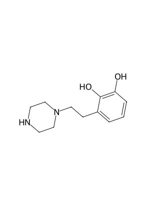 Oc1cccc(CCN2CCNCC2)c1O